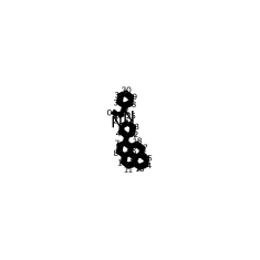 Cc1nc2cc(-c3ccc4ccc5cccc6ccc3c4c56)ccc2nc1-c1ccccc1